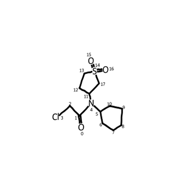 O=C(CCl)N(C1CCCCC1)C1CCS(=O)(=O)C1